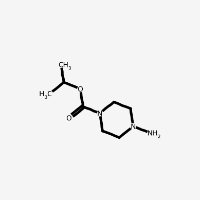 CC(C)OC(=O)N1CCN(N)CC1